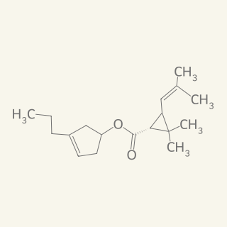 CCCC1=CCC(OC(=O)[C@@H]2C(C=C(C)C)C2(C)C)C1